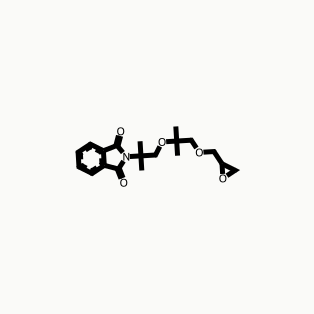 CC(C)(COCC1CO1)OCC(C)(C)N1C(=O)c2ccccc2C1=O